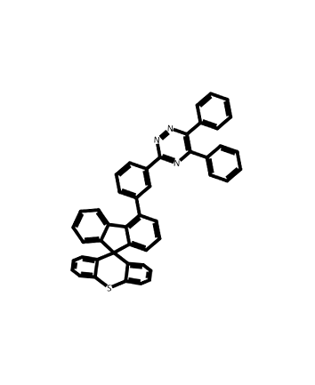 c1ccc(-c2nnc(-c3cccc(-c4cccc5c4-c4ccccc4C54c5ccccc5Sc5ccccc54)c3)nc2-c2ccccc2)cc1